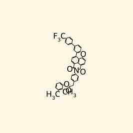 Cc1cccc(OC(=O)Cc2ccc(-n3c(=O)c4ccc5oc6ccc(-c7ccc(C(F)(F)F)cc7)cc6c6ccc(c3=O)c4c56)cc2)c1C